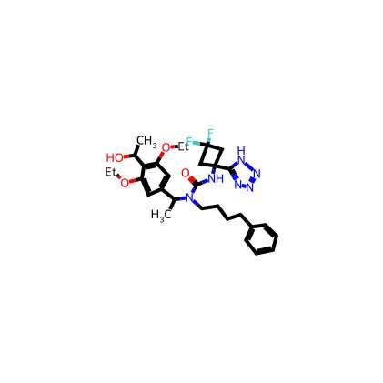 CCOc1cc(C(C)N(CCCCc2ccccc2)C(=O)NC2(c3nnn[nH]3)CC(F)(F)C2)cc(OCC)c1C(C)O